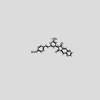 CNc1ccc(C=CC2=CC(=C3C(=O)c4cc5nccnc5cc4C3=O)C=C(C(C)(C)C)O2)cc1